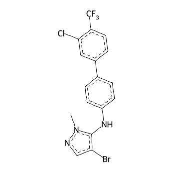 Cn1ncc(Br)c1Nc1ccc(-c2ccc(C(F)(F)F)c(Cl)c2)cc1